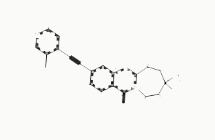 Cc1cnccc1C#Cc1ccc2c(=O)n3c(nc2c1)CCC(O)(O)CC3